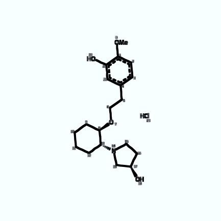 COc1ccc(CCO[C@@H]2CCCC[C@H]2N2CC[C@@H](O)C2)cc1O.Cl